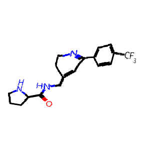 O=C(NCC1=CC(c2ccc(C(F)(F)F)cc2)=NCC1)C1CCCN1